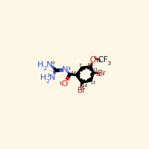 NC(N)=NC(=O)c1cc(OC(F)(F)F)c(Br)cc1Br